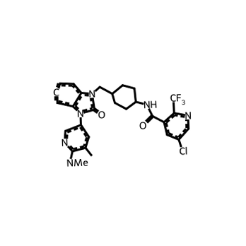 CNc1ncc(-n2c(=O)n(CC3CCC(NC(=O)c4cc(Cl)cnc4C(F)(F)F)CC3)c3ccccc32)cc1C